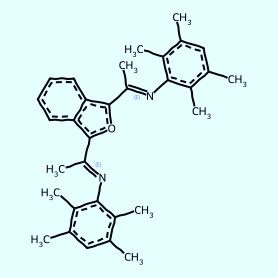 C/C(=N\c1c(C)c(C)cc(C)c1C)c1oc(/C(C)=N/c2c(C)c(C)cc(C)c2C)c2ccccc12